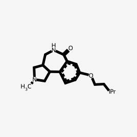 CC(C)CCOc1ccc2c(c1)C(=O)NCC1CN(C)CC21